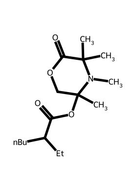 CCCCC(CC)C(=O)OC1(C)COC(=O)C(C)(C)N1C